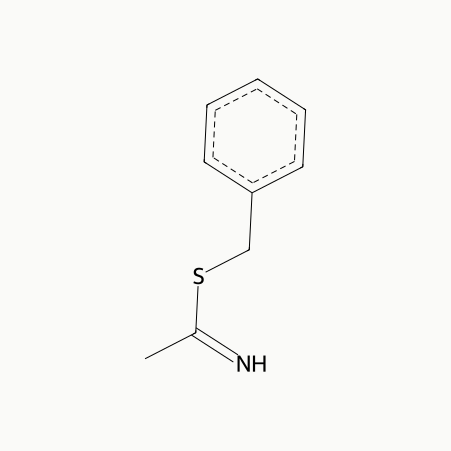 CC(=N)SCc1ccccc1